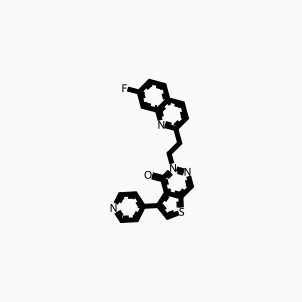 O=c1c2c(-c3ccncc3)csc2cnn1CCc1ccc2ccc(F)cc2n1